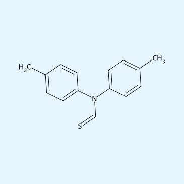 Cc1ccc(N(C=S)c2ccc(C)cc2)cc1